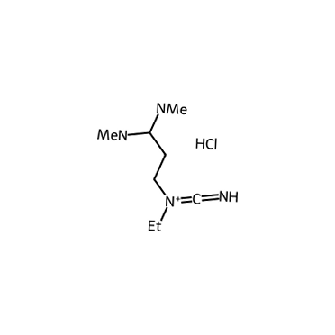 CC[N+](=C=N)CCC(NC)NC.Cl